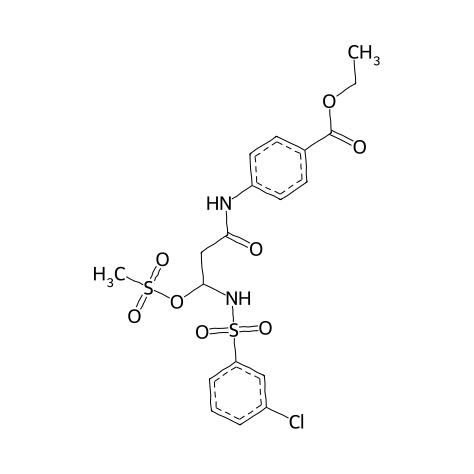 CCOC(=O)c1ccc(NC(=O)CC(NS(=O)(=O)c2cccc(Cl)c2)OS(C)(=O)=O)cc1